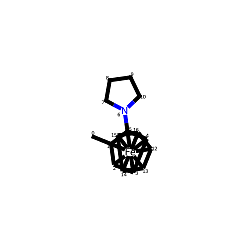 C[C]12[CH]3[CH]4[CH]5[C]1(N1CCCC1)[Fe]43521678[CH]2[CH]1[CH]6[CH]7[CH]28